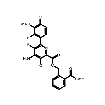 COC(=O)c1ccccc1COC(=O)c1nc(-c2ccc(Cl)c(OC)c2F)c(F)c(N)c1Cl